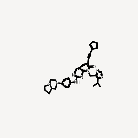 CC(C)c1scnc1Cn1c(=O)c(C#CC2=CCCC2)cc2cnc(Nc3ccc(N4CCN5CCCC5C4)cc3)nc21